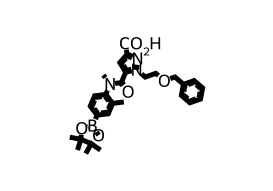 Cc1cc(B2OC(C)(C)C(C)(C)O2)ccc1N(C)C(=O)c1cc(C(=O)O)nn1CCOCc1ccccc1